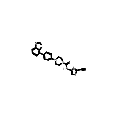 C#Cc1nc(NC(=O)N2CCN(c3ccc(-c4cccc5ncsc45)cc3)CC2)cs1